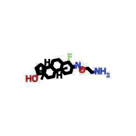 C[C@]12CCC(=NOCCN)C(F)C1CC[C@@H]1[C@H]2CC[C@]2(C)C(O)CC[C@@H]12